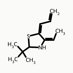 C=C/C=C1/SC(C(C)(C)C)N/C1=C/C